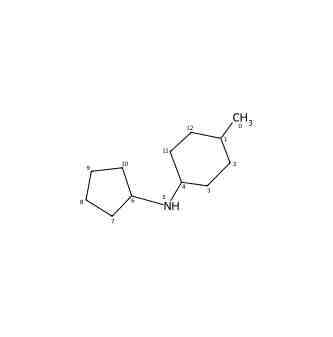 CC1CCC(NC2CCCC2)CC1